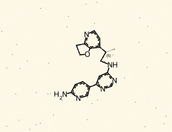 C[C@H](CNc1cc(-c2ccc(N)nc2)ncn1)c1ccnc2c1OCC2